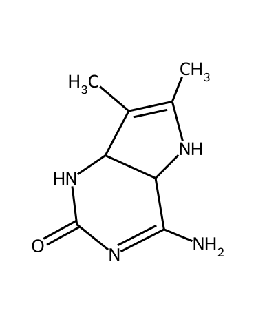 CC1=C(C)C2NC(=O)N=C(N)C2N1